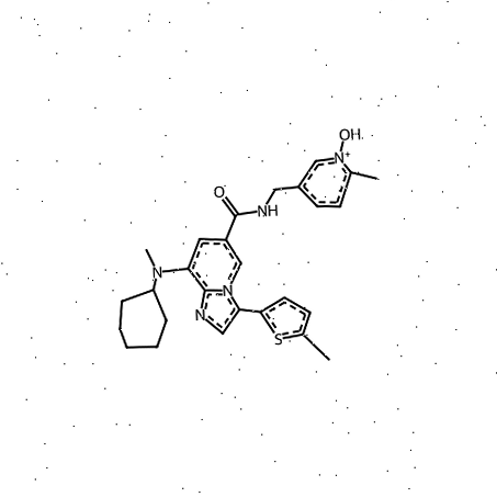 Cc1ccc(-c2cnc3c(N(C)C4CCCCC4)cc(C(=O)NCc4ccc(C)[n+](O)c4)cn23)s1